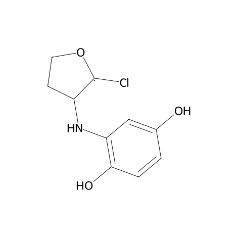 Oc1ccc(O)c(NC2CCO[C]2Cl)c1